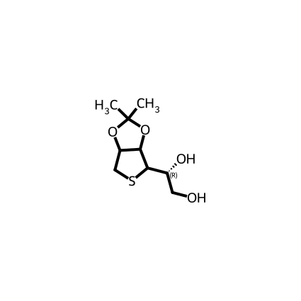 CC1(C)OC2CSC([C@H](O)CO)C2O1